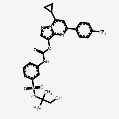 CC(C)(CO)NS(=O)(=O)c1cccc(NC(=O)Oc2cnn3c(C4CC4)cc(-c4ccc(C(F)(F)F)cc4)nc23)c1